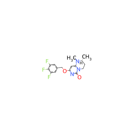 C[C@@H]1CCn2c(cc(OCc3cc(F)c(F)c(F)c3)nc2=O)N1C